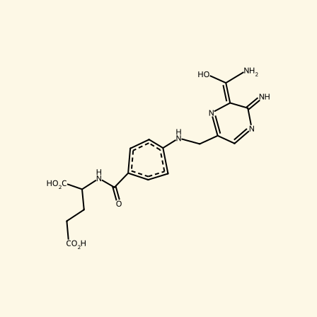 N=C1N=CC(CNc2ccc(C(=O)NC(CCC(=O)O)C(=O)O)cc2)=N/C1=C(/N)O